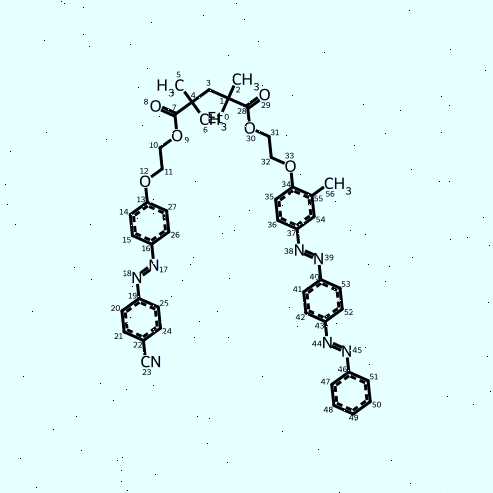 CCC(C)(CC(C)(C)C(=O)OCCOc1ccc(/N=N/c2ccc(C#N)cc2)cc1)C(=O)OCCOc1ccc(/N=N/c2ccc(/N=N/c3ccccc3)cc2)cc1C